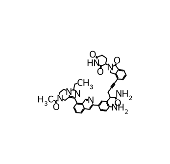 CCc1nc(-c2cccc3cc(-c4ccc(N)c(C(CC#Cc5cccc6c5CN(C5CCC(=O)NC5=O)C6=O)C(N)=O)c4)ncc23)c2n1CCN(C(C)=O)C2